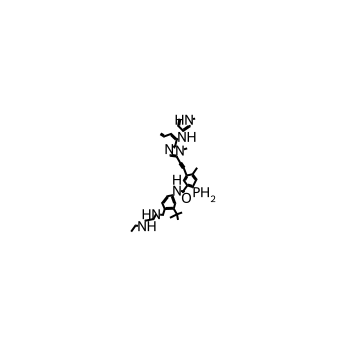 C=C/C=C(/N/C(C=C)=C/NC)c1ncc(C#Cc2cc(C(=O)Nc3ccc(CNCCNCC)c(C(C)(C)C)c3)c(P)cc2C)n1C